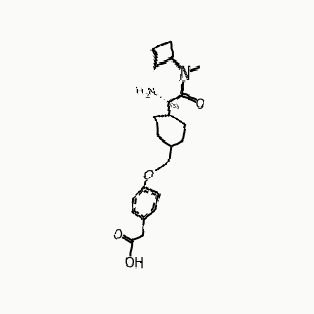 CN(C(=O)[C@@H](N)C1CCC(COc2ccc(CC(=O)O)cc2)CC1)C1CCC1